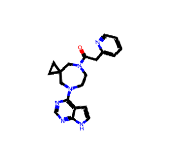 O=C(Cc1ccccn1)N1CCN(c2ncnc3[nH]ccc23)CC2(CC2)C1